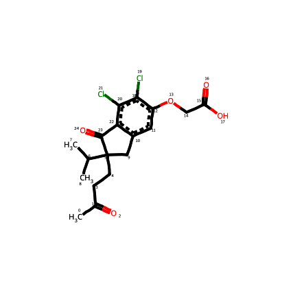 CC(=O)CCC1(C(C)C)Cc2cc(OCC(=O)O)c(Cl)c(Cl)c2C1=O